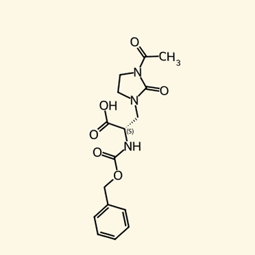 CC(=O)N1CCN(C[C@H](NC(=O)OCc2ccccc2)C(=O)O)C1=O